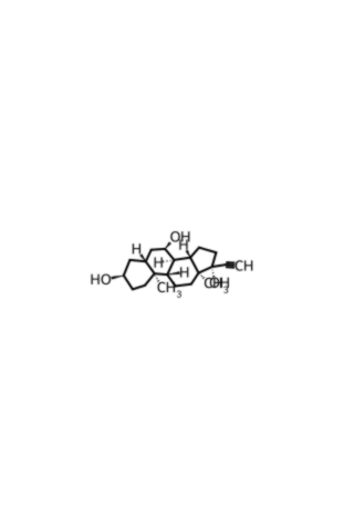 C#C[C@]1(O)CC[C@H]2[C@@H]3[C@H](O)C[C@H]4C[C@H](O)CC[C@]4(C)[C@H]3CC[C@@]21C